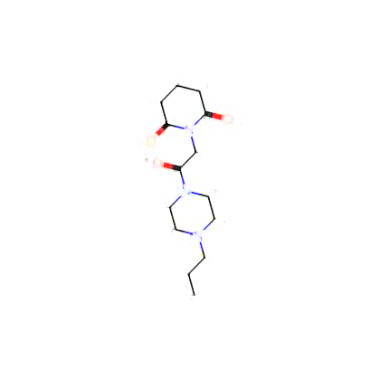 CCCN1CCN(C(=O)CN2C(=O)CCCC2=O)CC1